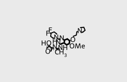 COc1cc2c(N[C@H](C)N[C@@H]3COC[C@H]3O)nc(N3CCC(F)(F)CC3)nc2cc1OCCCN1CCCC1